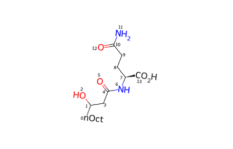 CCCCCCCCC(O)CC(=O)N[C@@H](CCC(N)=O)C(=O)O